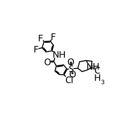 C[C@H]1CC2CC(S(=O)(=O)c3cc(C(=O)Nc4cc(F)c(F)c(F)c4)ccc3Cl)CC1N2